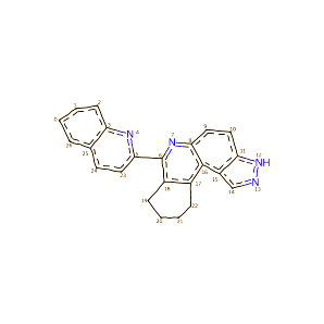 c1ccc2nc(-c3nc4ccc5[nH]ncc5c4c4c3CCCC4)ccc2c1